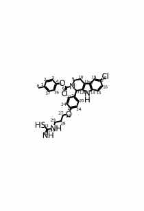 Cc1ccc(OC(=O)N2CCc3c([nH]c4ccc(Cl)cc34)C2c2ccc(OCCCNC(=N)S)cc2)cc1